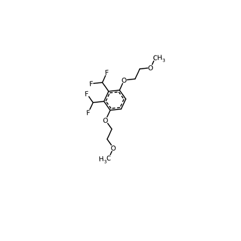 COCCOc1ccc(OCCOC)c(C(F)F)c1C(F)F